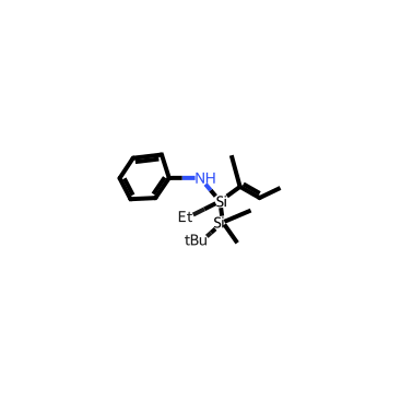 C/C=C(\C)[Si](CC)(Nc1ccccc1)[Si](C)(C)C(C)(C)C